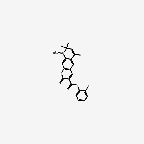 C=C(Sc1ccccc1CC)c1cc2cc3c(cc2oc1=O)N(CCCC)C(C)(C)C=C3C